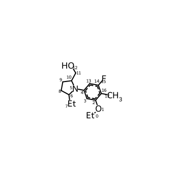 CCOc1cc(N2C(CC)CCC2CO)cc(F)c1C